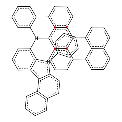 c1ccc(-c2ccccc2N(c2ccc(-c3cccc4cccc(-c5ccccc5)c34)cc2)c2cccc3c4c5ccccc5ccc4n(-c4ccccc4)c23)cc1